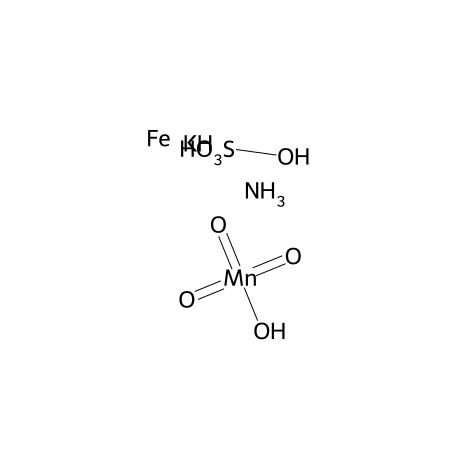 N.O=S(=O)(O)O.[Fe].[KH].[O]=[Mn](=[O])(=[O])[OH]